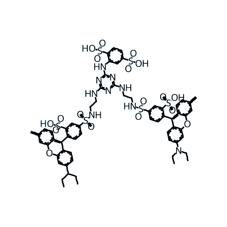 C=c1ccc2c(c1)Oc1cc(C(CC)CC)ccc1C=2c1ccc(S(=O)(=O)NCCNc2nc(NCCNS(=O)(=O)c3ccc(C4=c5ccc(=C)cc5Oc5cc(N(CC)CC)ccc54)c(S(=O)(=O)O)c3)nc(Nc3cc(S(=O)(=O)O)ccc3S(=O)(=O)O)n2)cc1S(=O)(=O)O